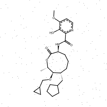 COc1ccnc(C(=O)N[C@H]2CCC[C@H](CC3CCCC3)[C@@H](OCC3CC3)[C@H](C)OC2=O)c1O